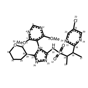 COc1ncnc(OC)c1-n1c(NS(=O)(=O)C(C)C(C)c2ncc(Cl)cn2)nnc1[C@H]1CCCOC1